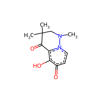 CN1CC(C)(C)C(=O)c2c(O)c(=O)ccn21